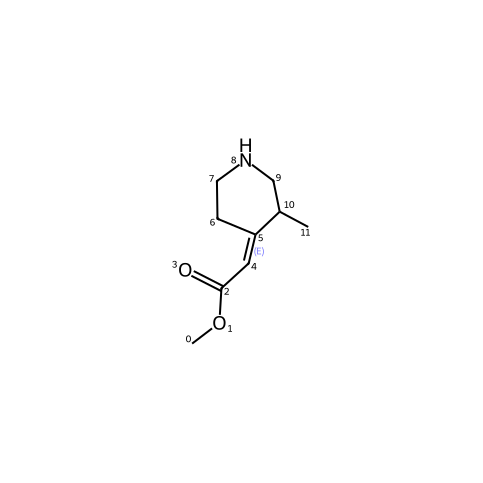 COC(=O)/C=C1\CCNCC1C